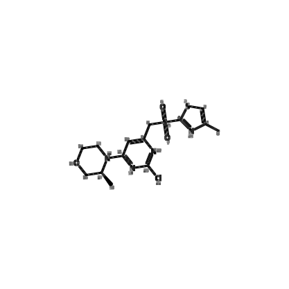 Cc1csc(S(=O)(=O)Cc2cc(N3CCOC[C@@H]3C)nc(Cl)n2)n1